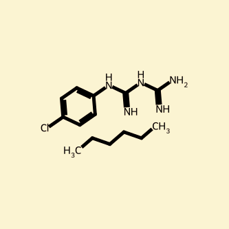 CCCCCC.N=C(N)NC(=N)Nc1ccc(Cl)cc1